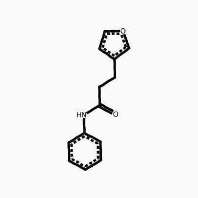 O=C(CCc1ccoc1)Nc1ccccc1